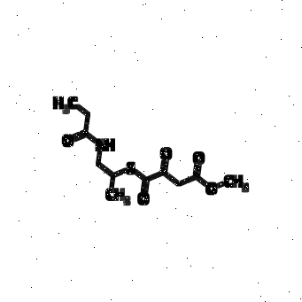 CCC(=O)NCC(C)SC(=O)C(=O)CC(=O)OC